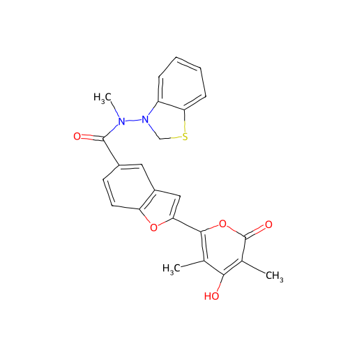 Cc1c(-c2cc3cc(C(=O)N(C)N4CSc5ccccc54)ccc3o2)oc(=O)c(C)c1O